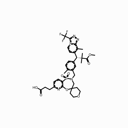 COC(=O)C(C)(C)[C@H](c1ccc(C)c(CN2CC3(CCOCC3)Oc3nc(CCC(=O)O)ccc3S2(=O)=O)c1)c1ccn2c(C(F)(F)F)nnc2c1C